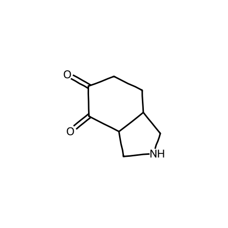 O=C1CCC2CNCC2C1=O